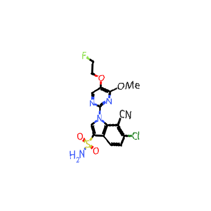 COc1nc(-n2cc(S(N)(=O)=O)c3ccc(Cl)c(C#N)c32)ncc1OCCF